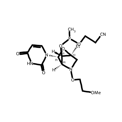 CC[C@@]12CN(OCCOC)[C@@H]([C@H](n3ccc(=O)[nH]c3=O)O1)[C@@H]2OP(C)OCCC#N